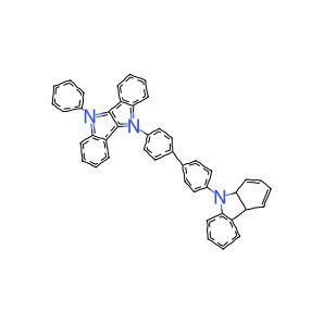 C1=CC2c3ccccc3N(c3ccc(-c4ccc(-n5c6ccccc6c6c5c5ccccc5n6-c5ccccc5)cc4)cc3)C2C=C1